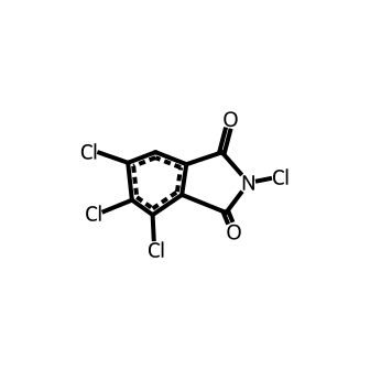 O=C1c2cc(Cl)c(Cl)c(Cl)c2C(=O)N1Cl